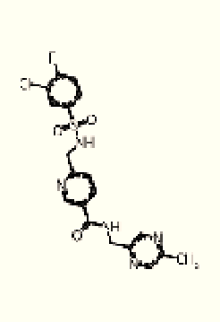 Cc1cnc(CNC(=O)c2ccc(CNS(=O)(=O)c3ccc(F)c(Cl)c3)nc2)cn1